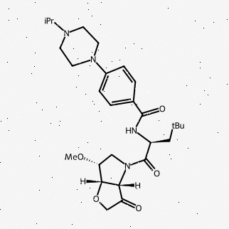 CO[C@@H]1CN(C(=O)[C@H](CC(C)(C)C)NC(=O)c2ccc(N3CCN(C(C)C)CC3)cc2)[C@@H]2C(=O)CO[C@@H]21